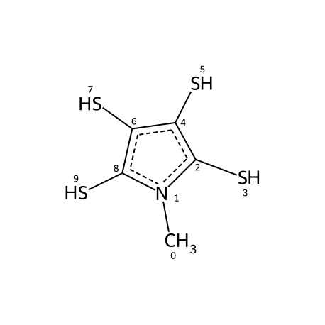 Cn1c(S)c(S)c(S)c1S